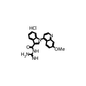 COc1ccc2c(-n3cc(C(=O)NC(=N)N)c4ccccc43)ccnc2c1.Cl